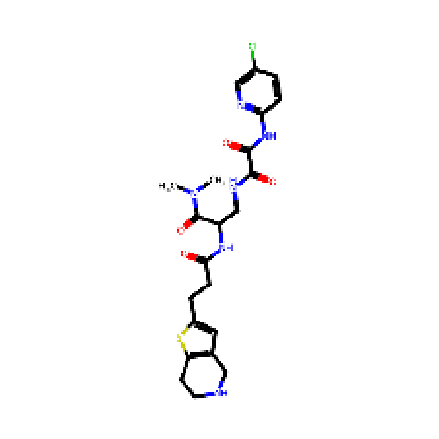 CN(C)C(=O)C(CNC(=O)C(=O)Nc1ccc(Cl)cn1)NC(=O)CCc1cc2c(s1)CCNC2